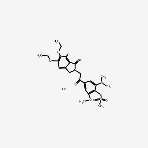 Br.CCOc1cc2c(c(F)c1OCC)C(=N)N(CC(=O)c1cc(OC)c(OS(C)(=O)=O)c(N(C)C)c1)C2